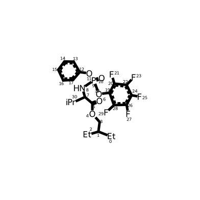 CCC(CC)COC(=O)C(NP(=O)(Oc1ccccc1)Oc1c(F)c(F)c(F)c(F)c1F)C(C)C